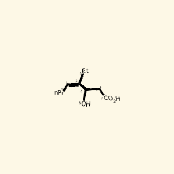 CCCC=C(CC)C(O)CC(=O)O